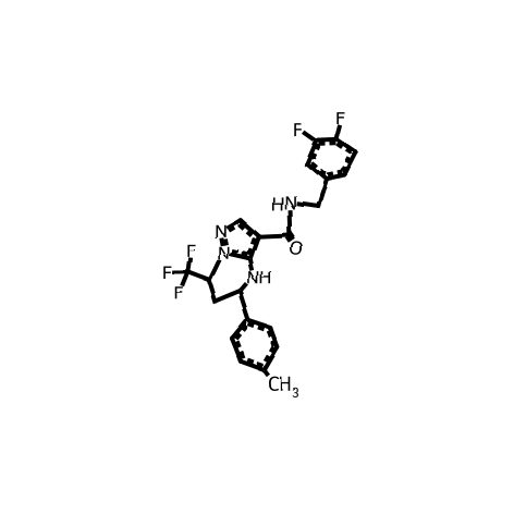 Cc1ccc(C2CC(C(F)(F)F)n3ncc(C(=O)NCc4ccc(F)c(F)c4)c3N2)cc1